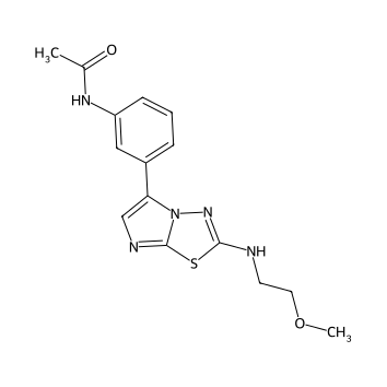 COCCNc1nn2c(-c3cccc(NC(C)=O)c3)cnc2s1